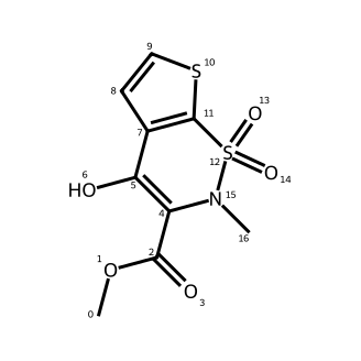 COC(=O)C1=C(O)c2ccsc2S(=O)(=O)N1C